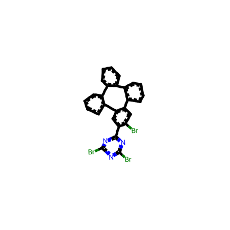 Brc1nc(Br)nc(-c2cc3c(cc2Br)-c2ccccc2-c2ccccc2-c2ccccc2-3)n1